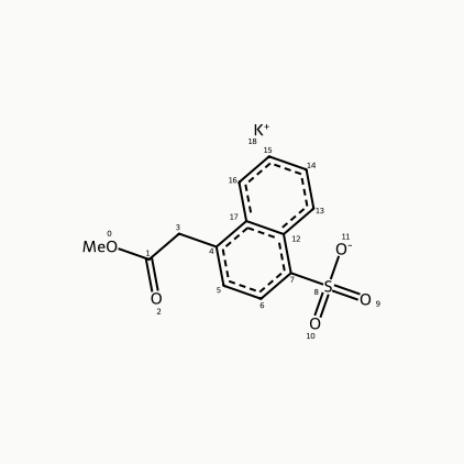 COC(=O)Cc1ccc(S(=O)(=O)[O-])c2ccccc12.[K+]